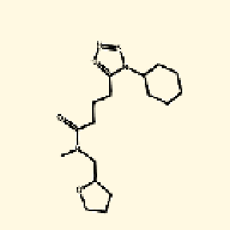 CN(CC1CCCO1)C(=O)CCCc1nnnn1C1CCCCC1